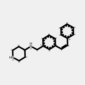 C(=C/c1cccc(CNC2CCNCC2)c1)/c1ccccc1